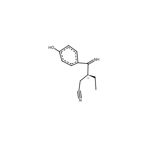 CC[C@@H](CC#N)C(=N)c1ccc(O)cc1